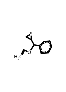 C=COC(c1ccccc1)C1CS1